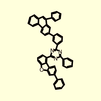 c1ccc(-c2ccc3c(c2)oc2cccc(-c4nc(-c5ccccc5)nc(-c5cccc(-c6ccc7c(c6)c(-c6ccccc6)cc6ccccc67)c5)n4)c23)cc1